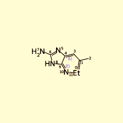 C=C(C)/C=C1/N=C(N)N/C1=N/CC